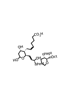 CCCCCCCC[C@H]1OCCC[C@@H]1CCCCCCC.CCCCC[C@H](O)/C=C/[C@H]1OC(O)C[C@H](O)[C@@H]1C/C=C\CCCC(=O)O